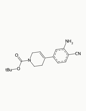 CC(C)(C)OC(=O)N1CC=C(c2ccc(C#N)c(N)c2)CC1